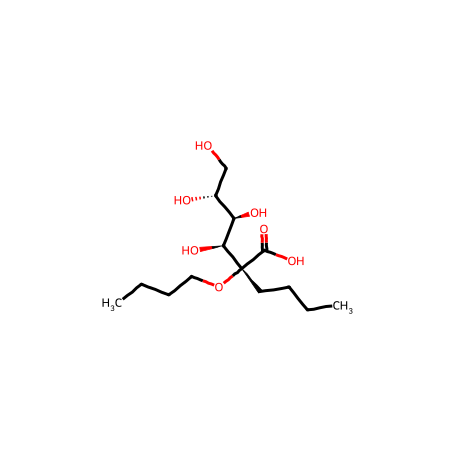 CCCCO[C@@](CCCC)(C(=O)O)[C@@H](O)[C@H](O)[C@H](O)CO